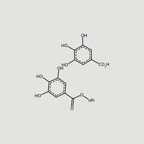 CCCOC(=O)c1cc(O)c(O)c(O)c1.O=C(O)c1cc(O)c(O)c(O)c1